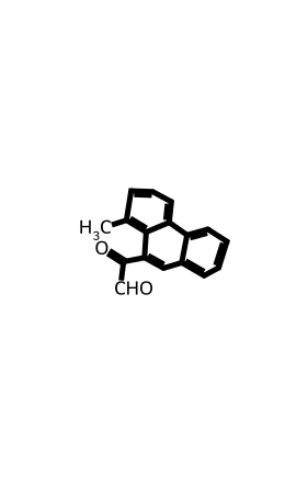 Cc1cccc2c1c(C(=O)C=O)cc1ccccc12